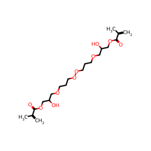 C=C(C)C(=O)OCC(O)COCCCOOCCCOCC(O)COC(=O)C(=C)C